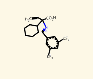 C=CC(/N=C/c1cc(C(F)(F)F)cc(C(F)(F)F)c1)(C(=O)O)C1CCCCC1